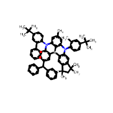 Cc1cc2c3c(c1)N(c1ccc(C(C)(C)C)cc1-c1ccccc1)c1ccc(C(c4ccccc4)c4ccccc4)cc1B3c1cc3c(cc1N2c1ccc(C(C)(C)C)cc1C)C(C)(C)CC3(C)C